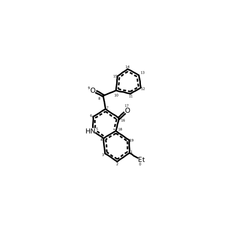 CCc1ccc2[nH]cc(C(=O)c3ccccc3)c(=O)c2c1